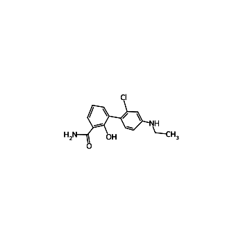 CCNc1ccc(-c2cccc(C(N)=O)c2O)c(Cl)c1